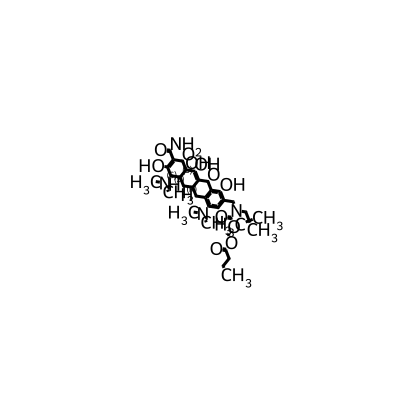 CCCC(=O)OCOC(=O)N(Cc1cc(N(C)C)c2c(c1O)C(=O)C1=C(O)[C@]3(O)C(=O)C(C(N)=O)=C(O)[C@@H](N(C)C)[C@@H]3C[C@@H]1C2)CC(C)(C)C